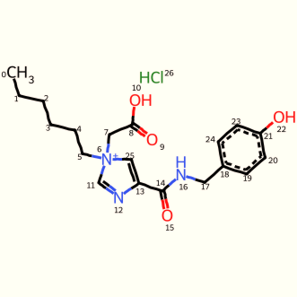 CCCCCC[N+]1(CC(=O)O)C=NC(C(=O)NCc2ccc(O)cc2)=C1.Cl